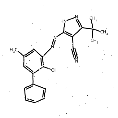 Cc1cc(/N=N/c2[nH]nc(C(C)(C)C)c2C#N)c(O)c(-c2ccccc2)c1